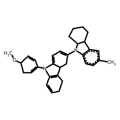 COC1C=CC(N2C3=CC=C(N4c5ccc(C)cc5C5CCCCC54)CC3C3=C2C=CCC3)=CC1